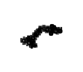 C[C@@H]1Cc2c([nH]c3ccccc23)[C@@H](c2c(F)cc(N3CCC4(CC3)CN(CC3Cc5cc6c(cc5C3)C(=O)N(C3CCC(=O)NC3=O)C6=O)C4)cc2F)N1CC(F)F